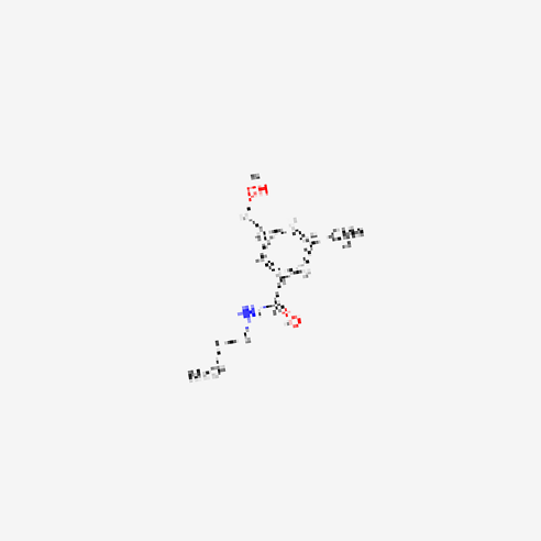 COCCNC(=O)c1cc(CO)cc(OC)c1